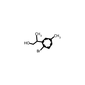 Cc1ccc(Br)c(C(C)CO)c1